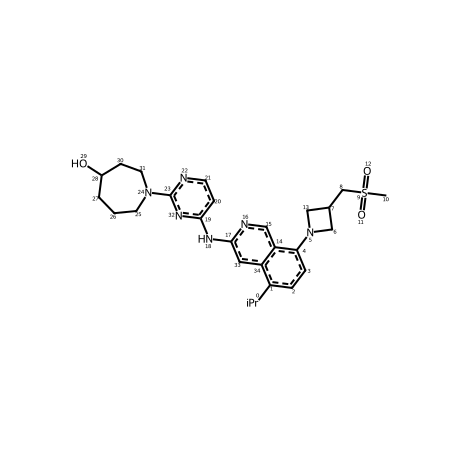 CC(C)c1ccc(N2CC(CS(C)(=O)=O)C2)c2cnc(Nc3ccnc(N4CCCC(O)CC4)n3)cc12